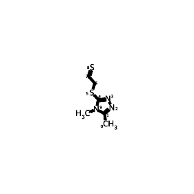 Cc1nnc(SC[C]=S)n1C